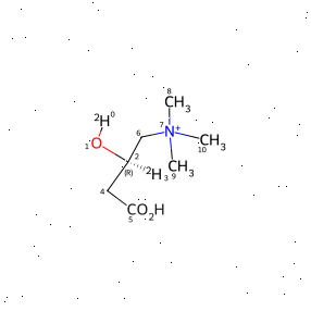 [2H]O[C@]([2H])(CC(=O)O)C[N+](C)(C)C